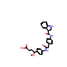 COC(CCC(=O)O)c1ccc(NC(=O)Cc2ccc(NC(=O)C3CNc4ccccc43)cc2)cc1